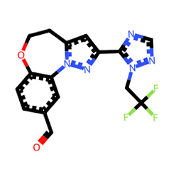 O=Cc1ccc2c(c1)-n1nc(-c3ncnn3CC(F)(F)F)cc1CCO2